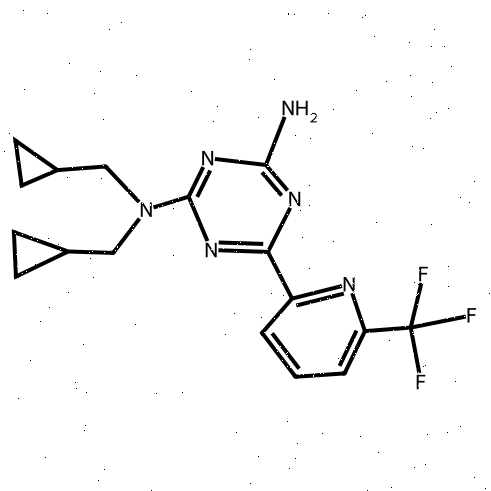 Nc1nc(-c2cccc(C(F)(F)F)n2)nc(N(CC2CC2)CC2CC2)n1